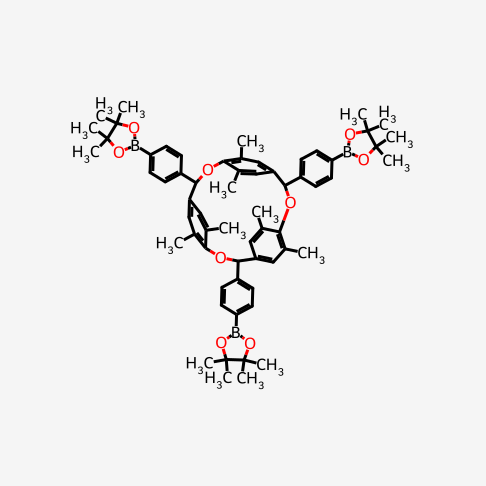 Cc1cc2cc(C)c1OC(c1ccc(B3OC(C)(C)C(C)(C)O3)cc1)c1cc(C)c(c(C)c1)OC(c1ccc(B3OC(C)(C)C(C)(C)O3)cc1)c1cc(C)c(c(C)c1)OC2c1ccc(B2OC(C)(C)C(C)(C)O2)cc1